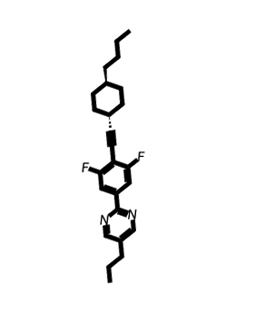 CCCC[C@H]1CC[C@H](C#Cc2c(F)cc(-c3ncc(CCC)cn3)cc2F)CC1